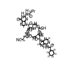 CC(C)C(=O)Nc1nc2c(ncn2[C@@H]2O[C@@H]3COP(S)O[C@H]4[C@H](F)[C@H](n5cnc6c(NC(=O)c7ccccc7)ncnc65)O[C@@H]4COP(=S)(OCCC#N)O[C@@H]2[C@@H]3F)c(=O)[nH]1